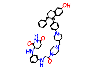 O=C1CCC(Nc2cccc(NCC(=O)N3CCN(CC4CCN(c5ccc([C@@H]6c7ccc(O)cc7CC[C@@H]6c6ccccc6)cc5)CC4)CC3)c2)C(=O)N1